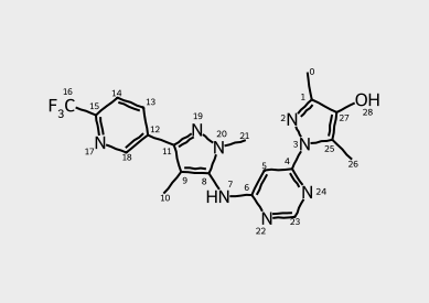 Cc1nn(-c2cc(Nc3c(C)c(-c4ccc(C(F)(F)F)nc4)nn3C)ncn2)c(C)c1O